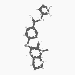 Cn1c(=O)c(Nc2ccc(C(=O)Nc3ccon3)cc2)nc2cccnc21